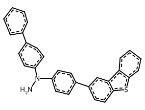 NN(c1ccc(-c2ccccc2)cc1)c1ccc(-c2ccc3sc4ccccc4c3c2)cc1